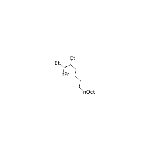 CCCCCCCCCCCCC(CC)[C](CC)CCC